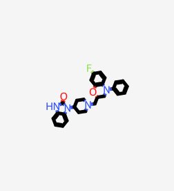 O=c1[nH]c2ccccc2n1C1CCN(CC2CN(c3ccccc3)c3ccc(F)cc3O2)CC1